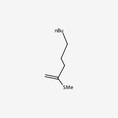 [CH2]CCCCCCC(=C)SC